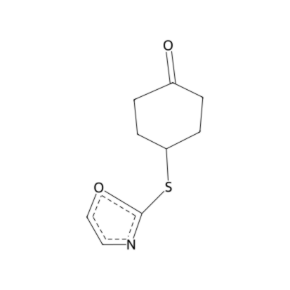 O=C1CCC(Sc2ncco2)CC1